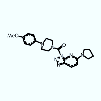 COc1ccc(N2CCN(C(=O)n3nnc4ccc(N5CCCC5)nc43)CC2)cc1